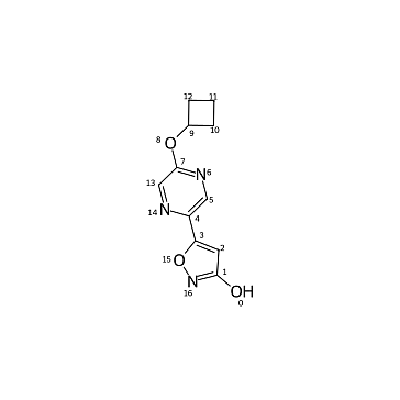 Oc1cc(-c2cnc(OC3CCC3)cn2)on1